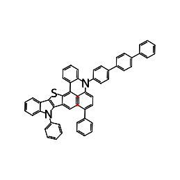 c1ccc(-c2ccc(-c3ccc(N(c4ccc(-c5ccccc5)cc4)c4ccccc4-c4cccc5c4sc4c6ccccc6n(-c6ccccc6)c54)cc3)cc2)cc1